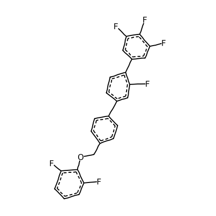 Fc1cc(-c2ccc(COc3c(F)cccc3F)cc2)ccc1-c1cc(F)c(F)c(F)c1